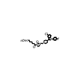 CCCCCCCCCCCCCCCC(=O)N1CCN(CCN2CCC(c3cn(-c4ccc(F)cc4)c4ccc(Cl)cc34)CC2)C1=O